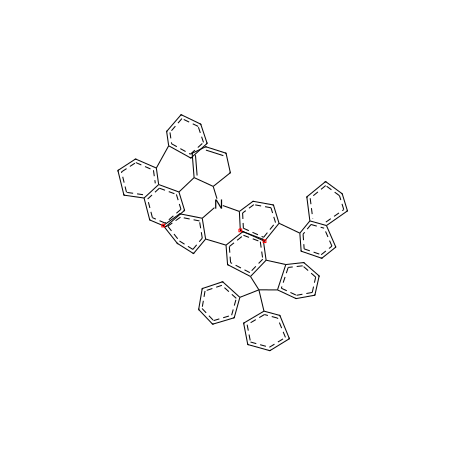 C1=CCC(N(c2ccc(-c3cccc4ccccc34)cc2)c2ccccc2-c2ccc3c(c2)C(c2ccccc2)(c2ccccc2)c2ccccc2-3)C(c2cccc3cccc(-c4ccccc4)c23)=C1